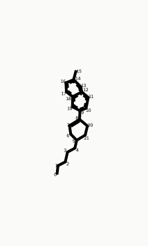 CCCCCC1CC=C(c2ccc3cc(C)ccc3c2)CC1